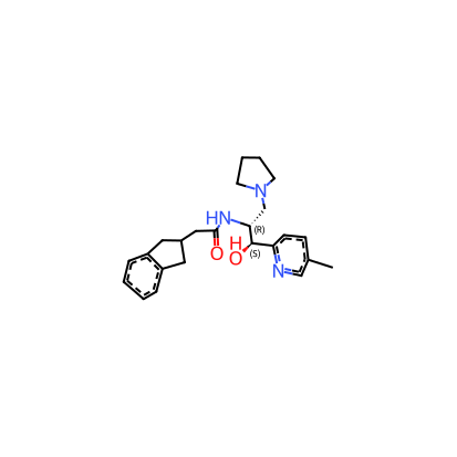 Cc1ccc([C@@H](O)[C@@H](CN2CCCC2)NC(=O)CC2Cc3ccccc3C2)nc1